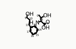 CC(O)C(N)C(=O)O.OCCCc1ccccc1